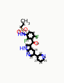 CCCS(=O)(=O)Nc1ccc(F)c(C(=O)c2c[nH]c3ncc(-c4cccnc4)cc23)c1F